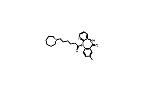 Cc1ccc2c(c1)C(=O)Nc1cccnc1N2C(=O)CCCCCN1CCCCCC1